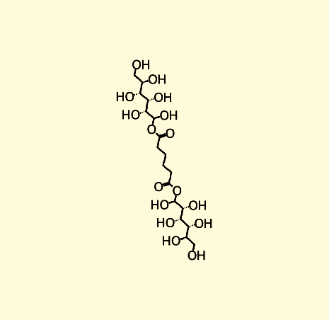 O=C(CCCCC(=O)OC(O)[C@H](O)[C@@H](O)[C@H](O)[C@H](O)CO)OC(O)[C@H](O)[C@@H](O)[C@H](O)[C@H](O)CO